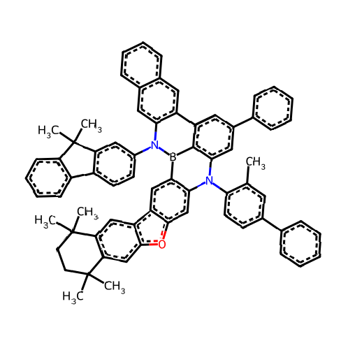 Cc1cc(-c2ccccc2)ccc1N1c2cc3oc4cc5c(cc4c3cc2B2c3c(cc(-c4ccccc4)cc31)-c1cc3ccccc3cc1N2c1ccc2c(c1)C(C)(C)c1ccccc1-2)C(C)(C)CCC5(C)C